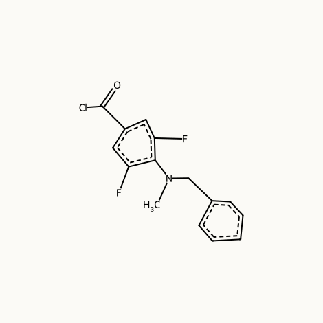 CN(Cc1ccccc1)c1c(F)cc(C(=O)Cl)cc1F